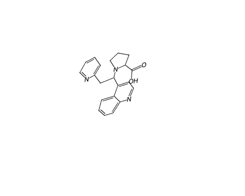 O=C(O)C1CCCN1C(Cc1ccccn1)c1ccnc2ccccc12